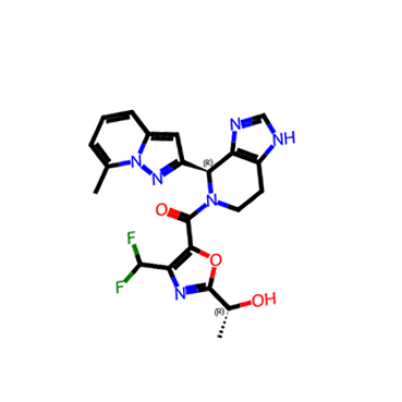 Cc1cccc2cc([C@H]3c4nc[nH]c4CCN3C(=O)c3oc([C@@H](C)O)nc3C(F)F)nn12